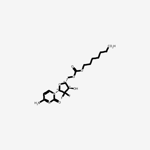 Nc1ccn([C@@H]2O[C@H](COC(=O)OCCCCCCC(=O)O)[C@@H](O)C2(F)F)c(=O)n1